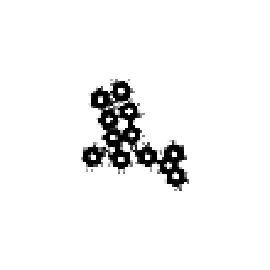 c1ccc(-n2c3ccccc3c3c(N(c4ccc(-c5cccc([Si](c6ccccc6)(c6ccccc6)c6ccccc6)c5)cc4)c4ccc(-c5cc6ccccc6c6ccccc56)cc4)cccc32)cc1